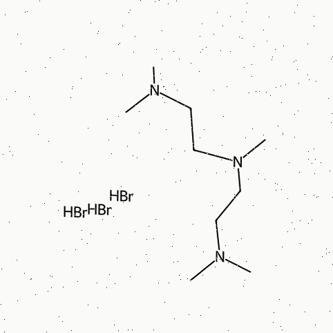 Br.Br.Br.CN(C)CCN(C)CCN(C)C